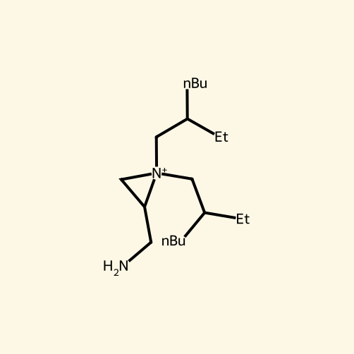 CCCCC(CC)C[N+]1(CC(CC)CCCC)CC1CN